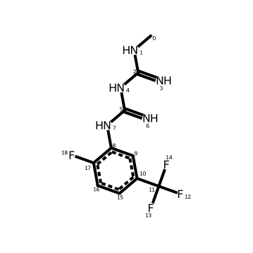 CNC(=N)NC(=N)Nc1cc(C(F)(F)F)ccc1F